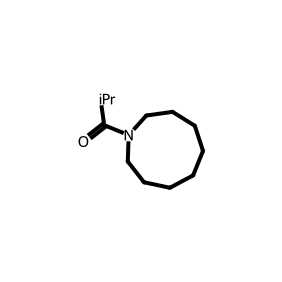 CC(C)C(=O)N1CCCCCCCC1